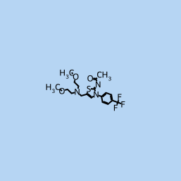 COCCN(CCOC)Cc1cn(-c2ccc(C(F)(F)F)cc2)c(=NC(C)=O)s1